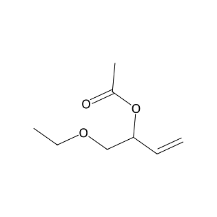 C=CC(COCC)OC(C)=O